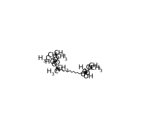 CC(C)CC(CC(C)C)OP(=O)(O)OCC[N+](C)(C)C/C=C/CCCCCCCCCOP(=O)(O)OCC[N+](C)(C)C